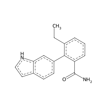 CCc1cccc(C(N)=O)c1-c1ccc2cc[nH]c2c1